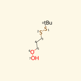 CC(C)(C)SSCCCOO